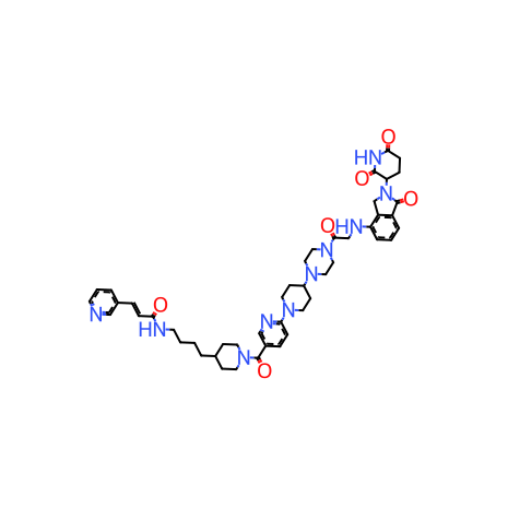 O=C(/C=C/c1cccnc1)NCCCCC1CCN(C(=O)c2ccc(N3CCC(N4CCN(C(=O)CNc5cccc6c5CN(C5CCC(=O)NC5=O)C6=O)CC4)CC3)nc2)CC1